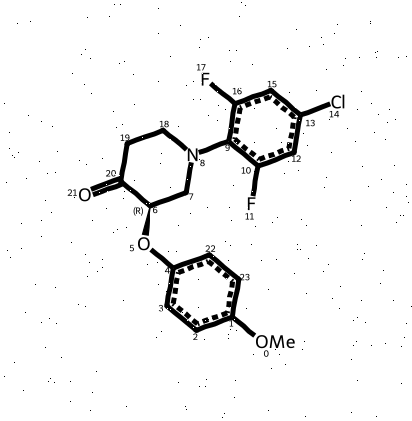 COc1ccc(O[C@@H]2CN(c3c(F)cc(Cl)cc3F)CCC2=O)cc1